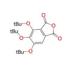 CC(C)(C)Oc1cc2c(c(OC(C)(C)C)c1OC(C)(C)C)C(=O)OC2=O